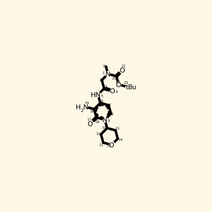 CN(CC(=O)Nc1ccn(C2CCOCC2)c(=O)c1N)C(=O)OC(C)(C)C